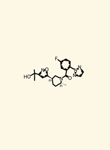 C[C@@H]1CC[C@@H](c2cc(C(C)(C)O)no2)CN1C(=O)c1cc(F)ccc1-n1nccn1